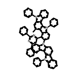 Cc1cc2c(c3ccccc3n2-c2ccccc2)c2c1c1c(-c3cc(-c4ccccc4)nc(-c4ccccc4)n3)c(-n3c4ccccc4c4c3ccc3c5ccccc5n(-c5ccccc5)c34)ccc1n2-c1ccccc1